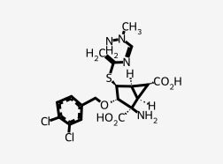 C=C(/N=C\N(C)N)S[C@H]1[C@H]2[C@H](C(=O)O)[C@H]2[C@](N)(C(=O)O)[C@@H]1OCc1ccc(Cl)c(Cl)c1